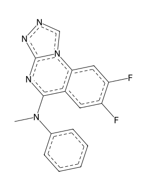 CN(c1ccccc1)c1nc2nncn2c2cc(F)c(F)cc12